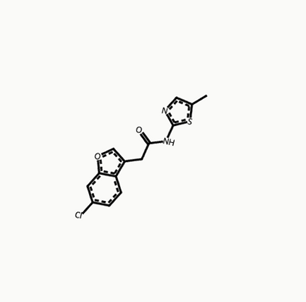 Cc1cnc(NC(=O)Cc2coc3cc(Cl)ccc23)s1